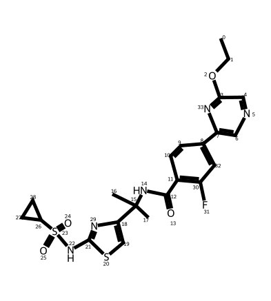 CCOc1cncc(-c2ccc(C(=O)NC(C)(C)c3csc(NS(=O)(=O)C4CC4)n3)c(F)c2)n1